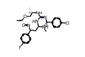 CCOC[C@H](C)N/C(=N/C(=O)c1ccc(Cl)cc1)NC(CC(N=O)c1ccc(F)cc1)NC